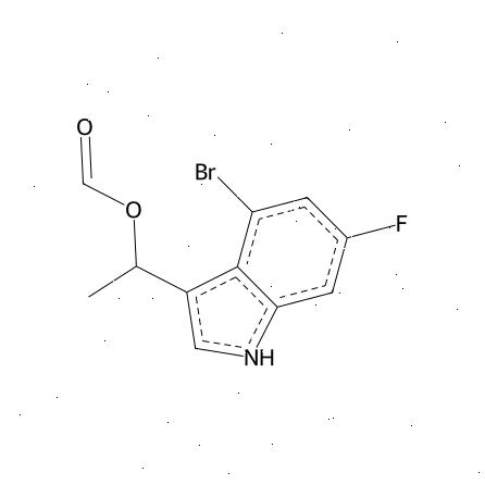 CC(OC=O)c1c[nH]c2cc(F)cc(Br)c12